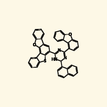 c1ccc2c(C3N=C(c4cccc5oc6ccccc6c45)N=C(c4cc5c6ccccc6oc5c5c4sc4ccccc45)N3)cccc2c1